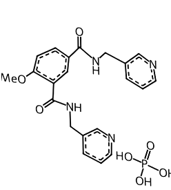 COc1ccc(C(=O)NCc2cccnc2)cc1C(=O)NCc1cccnc1.O=P(O)(O)O